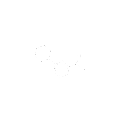 OB(O)c1cccc(N2CCCCC2)n1